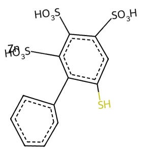 O=S(=O)(O)c1cc(S)c(-c2ccccc2)c(S(=O)(=O)O)c1S(=O)(=O)O.[Zn]